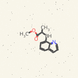 COC(=O)C(C)Bc1cccc2cccnc12